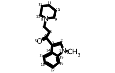 Cn1cc(C(=O)CCN2CCCCC2)c2ccccc21